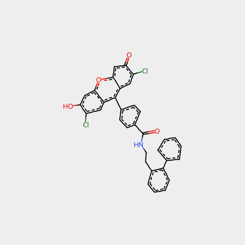 O=C(NCCc1ccccc1-c1ccccc1)c1ccc(-c2c3cc(Cl)c(=O)cc-3oc3cc(O)c(Cl)cc23)cc1